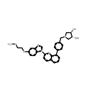 COCCOc1ccc2c(c1)ncn2-c1ccc2cccc(-c3ccc(CN4C[C@@H](O)[C@H](O)C4)cc3)c2n1